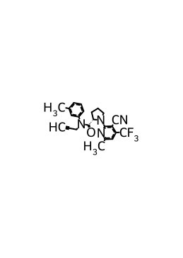 C#CCN(C(=O)[C@@H]1CCCN1c1nc(C)cc(C(F)(F)F)c1C#N)c1cccc(C)c1